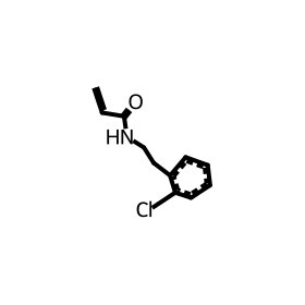 C=CC(=O)NCCc1ccccc1Cl